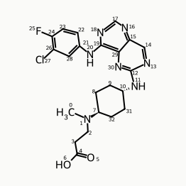 CN(CCC(=O)O)[C@H]1CC[C@H](Nc2ncc3ncnc(Nc4ccc(F)c(Cl)c4)c3n2)CC1